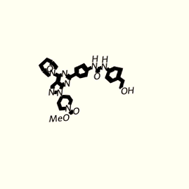 COC(=O)N1CCC(n2ncc3c(N4CC5CCC(C4)O5)nc(-c4ccc(NC(=O)Nc5ccc(CCO)cc5)cc4)nc32)CC1